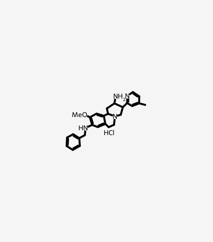 COc1cc2c(cc1NCc1ccccc1)CCN1CC(c3cc(C)ccn3)C(N)CC21.Cl